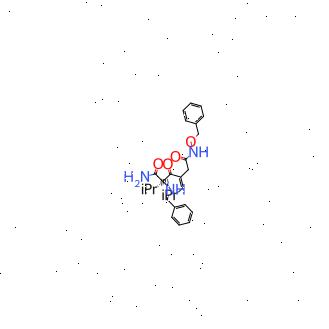 CC(C)C=C(CC(=O)NOCc1ccccc1)C(=O)[C@@](NCc1ccccc1)(C(N)=O)C(C)C